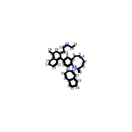 C=C1/C=C\C=C/Cc2cc(C3=C4C=CCCC4=C(C)C/C3=C\C=C/CC)ccc2N1C1=Cc2ccccc2C=CC1